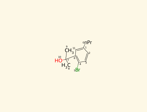 CCCc1ccc(Br)c(C(C)(C)O)c1